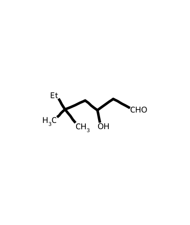 CCC(C)(C)CC(O)CC=O